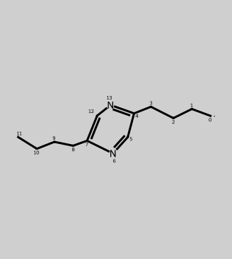 [CH2]CCCc1cnc(CCCC)cn1